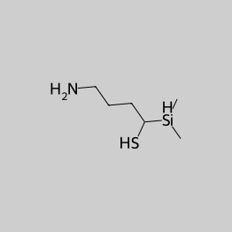 C[SiH](C)C(S)CCCN